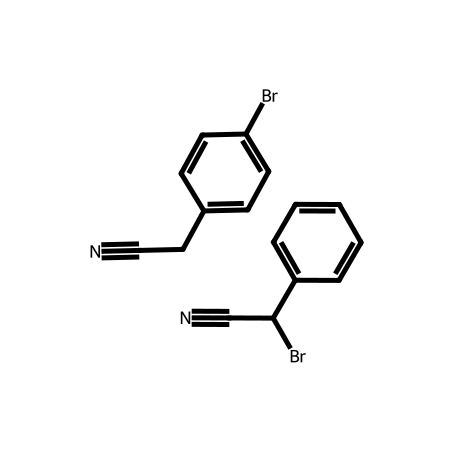 N#CC(Br)c1ccccc1.N#CCc1ccc(Br)cc1